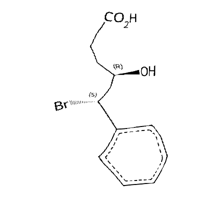 O=C(O)C[C@@H](O)[C@@H](Br)c1ccccc1